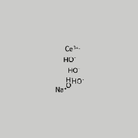 [Ce+3].[Na+].[OH-].[OH-].[OH-].[OH-]